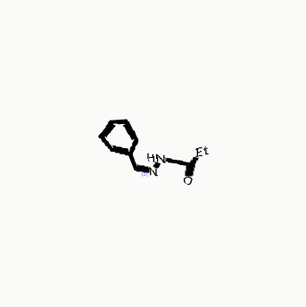 CCC(=O)N/N=C\c1ccccc1